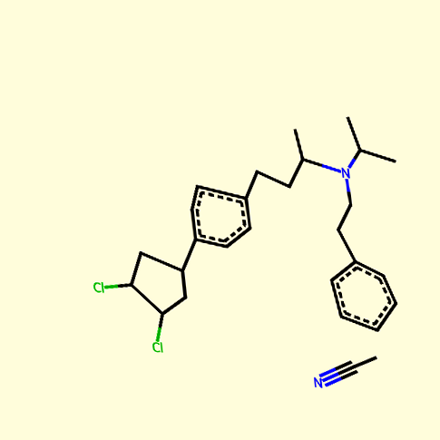 CC#N.CC(C)N(CCc1ccccc1)C(C)CCc1ccc(C2CC(Cl)C(Cl)C2)cc1